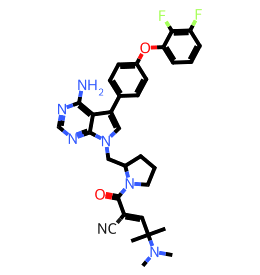 CN(C)C(C)(C)C=C(C#N)C(=O)N1CCCC1Cn1cc(-c2ccc(Oc3cccc(F)c3F)cc2)c2c(N)ncnc21